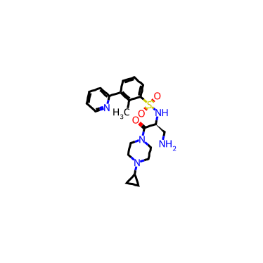 Cc1c(-c2ccccn2)cccc1S(=O)(=O)N[C@@H](CN)C(=O)N1CCN(C2CC2)CC1